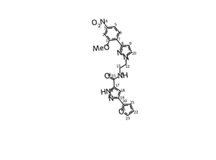 COc1cc([N+](=O)[O-])ccc1-c1ccn(CCNC(=O)c2cc(-c3ccco3)n[nH]2)n1